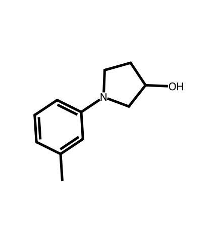 Cc1cccc(N2CCC(O)C2)c1